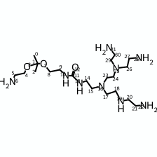 CC(C)(OCCN)OCCNC(=O)NCCN(CCNCCN)CCN(CCN)CCN